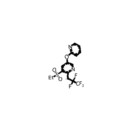 CCS(=O)(=O)c1cc(Oc2ccccn2)cnc1[CH]C(F)(F)C(F)(F)F